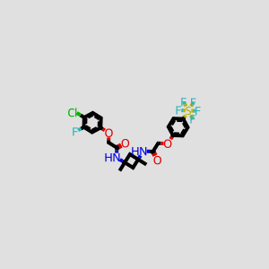 CC1(NC(=O)COc2ccc(S(F)(F)(F)(F)F)cc2)CC(C)(NC(=O)COc2ccc(Cl)c(F)c2)C1